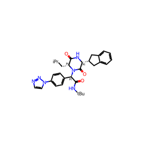 CC(C)C[C@@H]1C(=O)N[C@H](C2Cc3ccccc3C2)C(=O)N1[C@@H](C(=O)NC(C)(C)C)c1ccc(-n2ccnn2)cc1